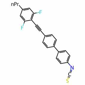 CCCc1cc(F)c(C#Cc2ccc(-c3ccc(N=C=S)cc3)cc2)c(F)c1